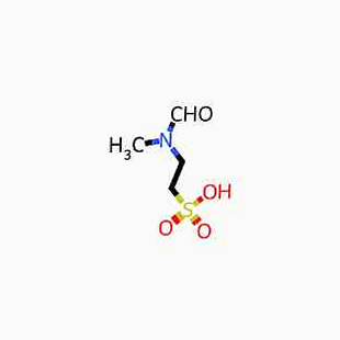 CN(C=O)CCS(=O)(=O)O